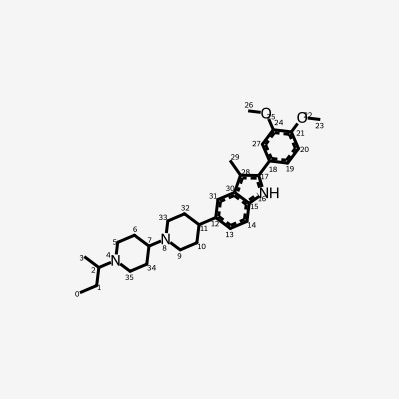 CCC(C)N1CCC(N2CCC(c3ccc4[nH]c(-c5ccc(OC)c(OC)c5)c(C)c4c3)CC2)CC1